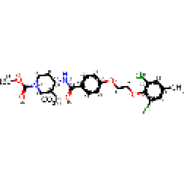 Cc1cc(Cl)c(OCCOc2ccc(C(=O)N[C@H]3CCN(C(=O)OC(C)(C)C)CC3C(=O)O)cc2)c(Cl)c1